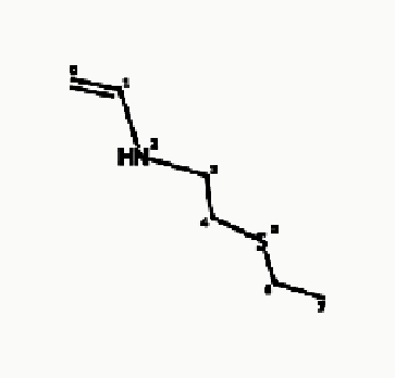 C=CNCCSCC